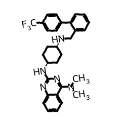 CN(C)c1nc(N[C@H]2CC[C@@H](NCc3ccccc3-c3ccc(C(F)(F)F)cc3)CC2)nc2ccccc12